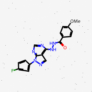 COc1ccc(C(=O)NNc2ncnc3c2cnn3-c2ccc(F)cc2)cc1